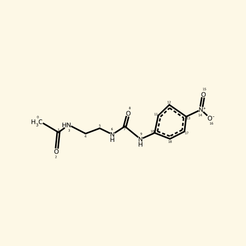 CC(=O)NCCNC(=O)Nc1ccc([N+](=O)[O-])cc1